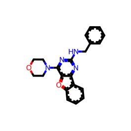 c1ccc(CNc2nc(N3CCOCC3)c3oc4ccccc4c3n2)cc1